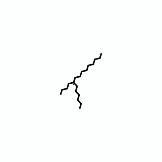 CCCCCCCCC[C](CCCC)CCCCCC